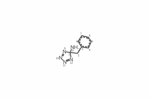 NC1(Cc2ccccc2)N=NN=N1